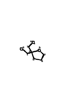 ClCC1(CCl)CCCO1